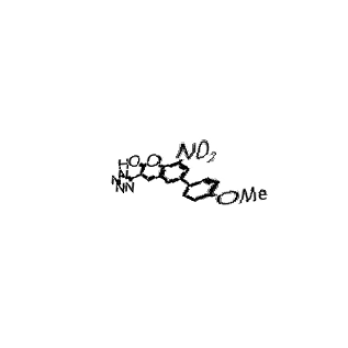 COc1ccc(-c2cc([N+](=O)[O-])c3oc(=O)c(-c4nnn[nH]4)cc3c2)cc1